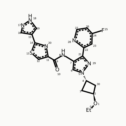 CCO[C@H]1C[C@H](n2cc(NC(=O)c3csc(-c4cn[nH]c4)n3)c(-c3cc(F)ccn3)n2)C1